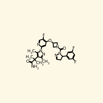 Cc1nn(-c2cc(OC3CN(C(=O)N4N=CCC4c4cc(F)cc(F)c4)C3)c(F)cn2)c(C)c1C(C)(C)C(N)=O